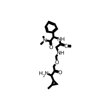 C=C=C(CNCOCC(=O)C(N)C1CC1C)NC(C(=O)N(C)C)c1ccccc1